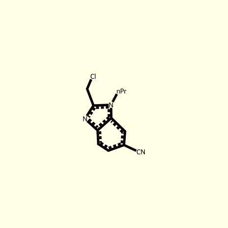 CCCn1c(CCl)nc2ccc(C#N)cc21